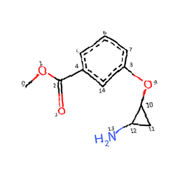 COC(=O)c1cccc(OC2CC2N)c1